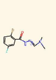 CN(C)/C=N/NC(=O)c1cc(F)ccc1Br